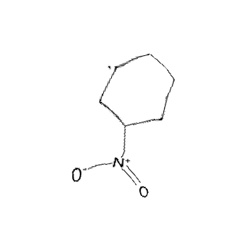 O=[N+]([O-])C1C[CH]CCC1